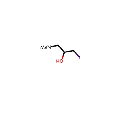 CNCC(O)CI